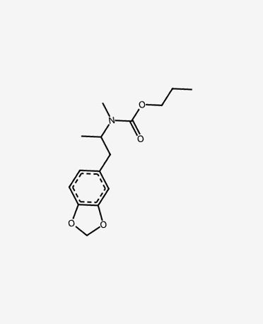 CCCOC(=O)N(C)C(C)Cc1ccc2c(c1)OCO2